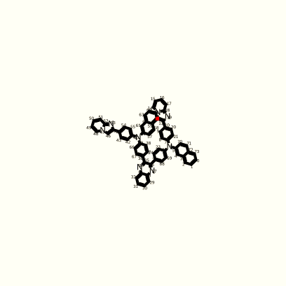 c1ccc2cc(N(c3ccc(-c4cn5ccccc5n4)cc3)c3ccc(-c4nc5ccccc5nc4-c4ccc(N(c5ccc(-c6cn7ccccc7n6)cc5)c5ccc6ccccc6c5)cc4)cc3)ccc2c1